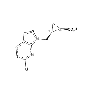 O=C(O)[C@@H]1C[C@@H]1Cn1ncc2cnc(Cl)nc21